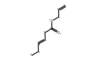 C=CCOC(=O)C/C=C/CC